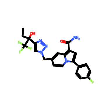 CCC(O)(c1cn(Cc2ccn3c(-c4ccc(F)cc4)cc(C(N)=O)c3c2)nn1)C(F)(F)F